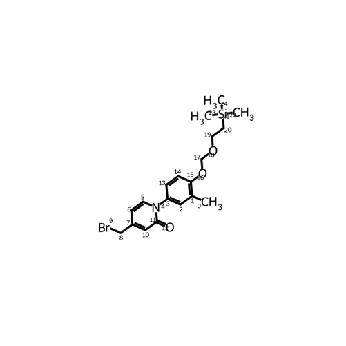 Cc1cc(-n2ccc(CBr)cc2=O)ccc1OCOCC[Si](C)(C)C